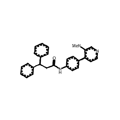 CNc1cnccc1-c1ccc(NC(=O)[CH]C(c2ccccc2)c2ccccc2)cc1